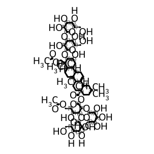 CC(=O)OC[C@H]1O[C@@H](OC(=O)[C@]23CCC(C)(C)C[C@H]2C2=CC[C@@H]4[C@@]5(C)C[C@H](O)[C@H](O[C@@H]6O[C@H](CO)[C@@H](O)[C@H](O[C@@H]7O[C@H](CO)[C@@H](O)[C@H](O)[C@H]7O)[C@H]6O)[C@@](C)(COC(C)=O)[C@@H]5CC[C@@]4(C)[C@]2(C)CC3)[C@H](O[C@@H]2O[C@@H](C)[C@H](O)[C@@H](O)[C@H]2O)[C@@H](O[C@@H]2O[C@H](CO)[C@H](O)[C@H](O)[C@H]2O)[C@@H]1O